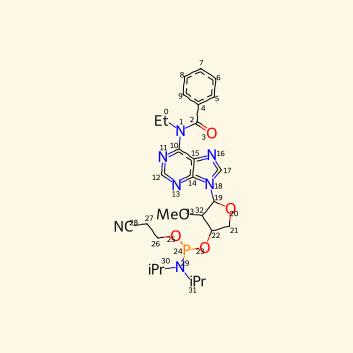 CCN(C(=O)c1ccccc1)c1ncnc2c1ncn2C1OCC(OP(OCCC#N)N(C(C)C)C(C)C)C1OC